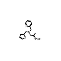 C/C(CN(Cc1ccccn1)Cc1ccco1)=N\O